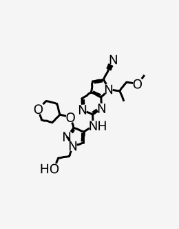 COCC(C)n1c(C#N)cc2cnc(Nc3cn(CCO)nc3OC3CCOCC3)nc21